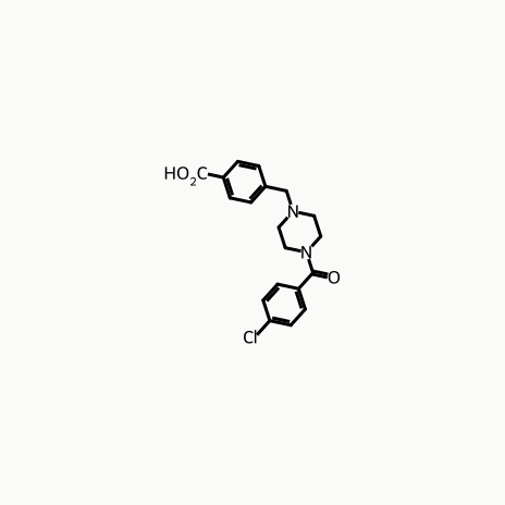 O=C(O)c1ccc(CN2CCN(C(=O)c3ccc(Cl)cc3)CC2)cc1